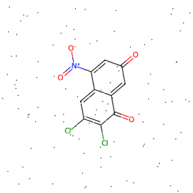 O=C1C=C2C(=O)C(Cl)=C(Cl)C=C2C([N+](=O)[O-])=C1